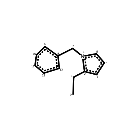 CCc1cccn1Cc1ccccc1